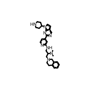 CN(C)C(CNc1cc(-c2ncc3ccn(C4CCNCC4)c3n2)ccn1)CN1CCc2ccccc2C1